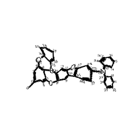 Cc1cc2c3c(c1)Oc1cc4c(cc1B3c1ccccc1O2)oc1cc(N(c2ccccc2)c2ccccc2)ccc14